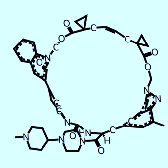 Cc1cc2cc3cn(nc13)COC(=O)C1(C/C=C\CC3(CC3)C(=O)OCn3c(=O)c(cc4ccccc43)C3CCN(CC3)C(=O)N[C@@H](C(=O)N3CCN(C4CCN(C)CC4)CC3)C2)CC1